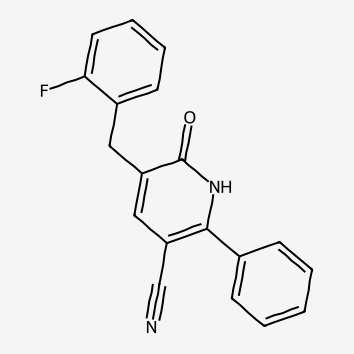 N#Cc1cc(Cc2ccccc2F)c(=O)[nH]c1-c1ccccc1